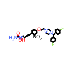 NC(=O)N(O)CCC#Cc1ccc(OCCN2CCN(C(c3ccc(F)cc3)c3ccc(F)cc3)CC2)cc1[N+](=O)[O-]